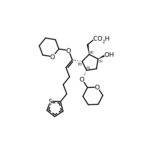 O=C(O)C[C@@H]1[C@@H](C(=CCCCc2cccs2)OC2CCCCO2)[C@@H](OC2CCCCO2)C[C@@H]1O